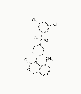 Cc1cccc2c1N(C1CCN(S(=O)(=O)c3cc(Cl)cc(Cl)c3)CC1)C(=O)OC2